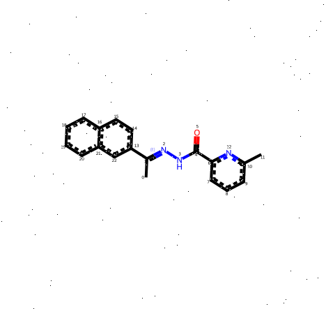 C/C(=N\NC(=O)c1cccc(C)n1)c1ccc2ccccc2c1